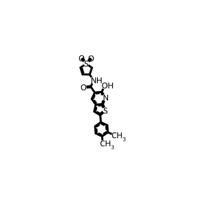 Cc1ccc(-c2cc3cc(C(=O)NC4C=CS(=O)(=O)C4)c(O)nc3s2)cc1C